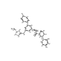 Cc1ccc(-c2cc(CN3CC[C@H](N)C3)cc(NC(=O)c3cc(-c4ccccc4)ccn3)c2)cn1